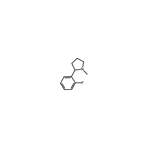 CN1CCCC1c1ccccc1F